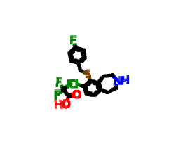 Fc1ccc(CSc2c(Cl)ccc3c2CCNCC3)cc1.O=C(O)C(F)(F)F